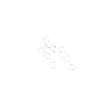 c1ccc(-c2ccc(-c3cccc(-c4nc(-c5cccc(-c6ccccc6)c5)c5c(n4)c4ccccc4n5-c4ccccc4)c3)cc2)cc1